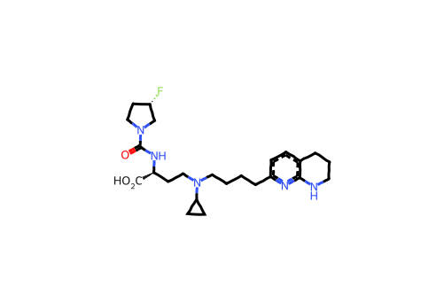 O=C(O)[C@H](CCN(CCCCc1ccc2c(n1)NCCC2)C1CC1)NC(=O)N1CC[C@H](F)C1